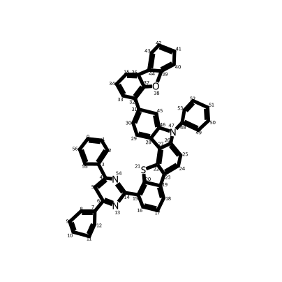 c1ccc(-c2cc(-c3ccccc3)nc(-c3cccc4c3sc3c4ccc4c3c3ccc(-c5cccc6c5oc5ccccc56)cc3n4-c3ccccc3)n2)cc1